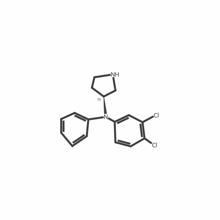 Clc1ccc(N(c2ccccc2)[C@H]2CCNC2)cc1Cl